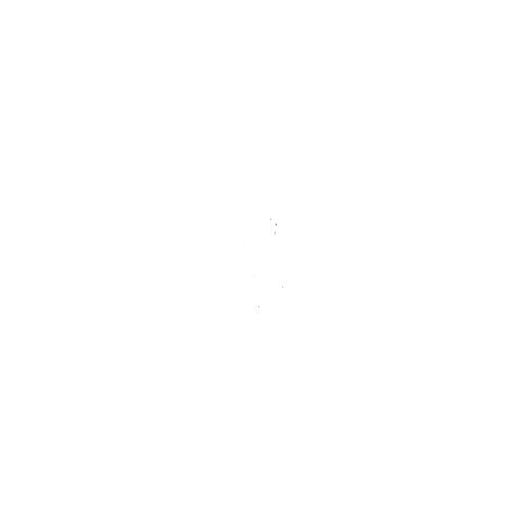 C1CC2CC2CN1.Cl